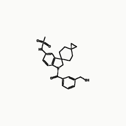 CS(=O)(=O)Nc1ccc2c(c1)C1(CCC3(CC3)CC1)CN2C(=O)c1cccc(CO)c1